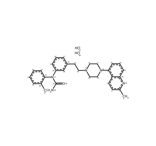 Cc1ccc2c(N3CCN(CCc4cccc(N(C(N)=O)c5ccccc5Cl)c4)CC3)cccc2n1.Cl.Cl